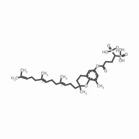 CC(C)=CCC/C(C)=C/CC/C(C)=C/CCC1(C)CCc2cc(OC(=O)CCC(P(=O)(O)O)P(=O)(O)O)cc(C)c2O1